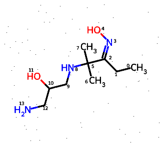 CCC(=NO)C(C)(C)NCC(O)CN